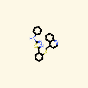 c1ccc(Nc2nnc(-c3ccccc3SCc3ccnc4ccccc34)s2)cc1